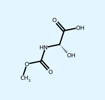 COC(=O)N[C@@H](O)C(=O)O